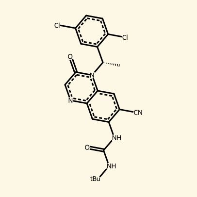 C[C@@H](c1cc(Cl)ccc1Cl)n1c(=O)cnc2cc(NC(=O)NC(C)(C)C)c(C#N)cc21